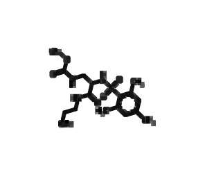 CC(=O)OCCNC(=O)C(CNC(=O)OC(C)(C)C)NS(=O)(=O)c1c(C)cc(C)cc1C